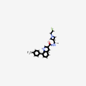 C[C@H](NC(=O)c1cnc2c(-c3ccc(C(F)(F)F)cc3)cccc2c1)C1CN(CCF)C1